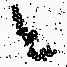 CC1(C)CCC(c2ccc(Cl)cc2)=C(CN2CCN(c3ccc(C(=O)NS(=O)(=O)c4ccc(N[C@H](CCN5CC6CCC5CN6Cc5ccc6c(c5Br)C(=O)N(C5CCC(=O)NC5=O)C6=O)CSc5ccccc5)c(S(=O)(=O)C(F)(F)F)c4)cc3)CC2)C1